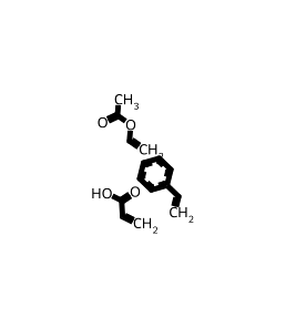 C=CC(=O)O.C=COC(C)=O.C=Cc1ccccc1